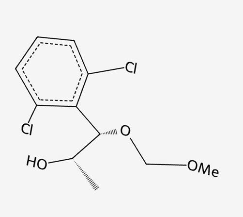 COCO[C@@H](c1c(Cl)cccc1Cl)[C@H](C)O